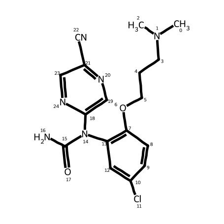 CN(C)CCCOc1ccc(Cl)cc1N(C(N)=O)c1cnc(C#N)cn1